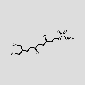 COS(=O)(=O)OCCC(=O)CCC(=O)CCC(CC(C)=O)CC(C)=O